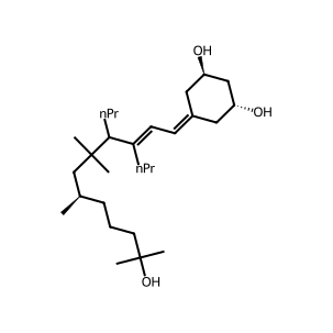 CCC/C(=C\C=C1C[C@@H](O)C[C@H](O)C1)C(CCC)C(C)(C)C[C@H](C)CCCC(C)(C)O